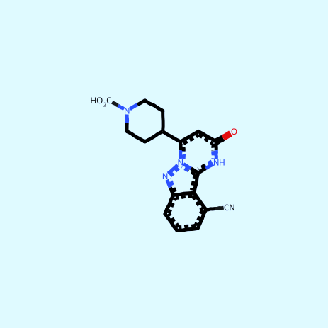 N#Cc1cccc2nn3c(C4CCN(C(=O)O)CC4)cc(=O)[nH]c3c12